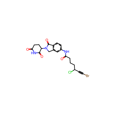 O=C1CCC(N2Cc3cc(NC(=O)CCCC(Cl)C#CBr)ccc3C2=O)C(=O)N1